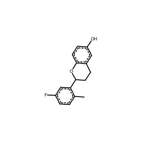 Cc1ccc(F)cc1C1CCc2cc(O)ccc2O1